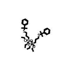 CCO[Si](CCCSC(C)(C)c1ccccc1)(OCC)O[Si](CCCSC(C)(C)c1ccccc1)(OCC)OCC